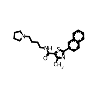 Cc1nc(-c2ccc3ccccc3c2)sc1C(=O)NCCCCN1CCCC1